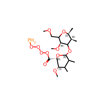 COCC1O[C@@H](C)[C@@H](C)C(O[C@@H]2O[C@@H](C(=O)OOOOP)[C@@H](OC)C(C)C2C)[C@H]1OC